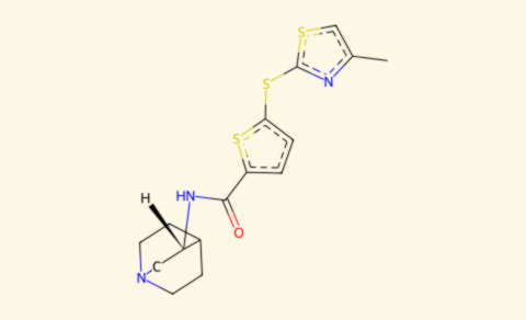 Cc1csc(Sc2ccc(C(=O)N[C@H]3CN4CCC3CC4)s2)n1